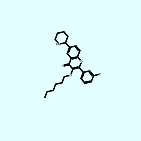 CCCCCCOc1c(-c2cccc(Cl)c2)oc2ccc(C3CCCCN3)cc2c1=O